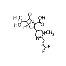 C[C@@H](O)[C@H]1C(=O)N2C(C(=O)O)=C([C@@H]3CN=C(CSC(F)F)N(C)C3)C[C@H]12